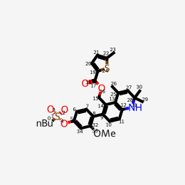 CCCCS(=O)(=O)Oc1ccc(-c2ccc3c(c2COC(=O)c2ccc(C)s2)C(C)=CC(C)(C)N3)c(OC)c1